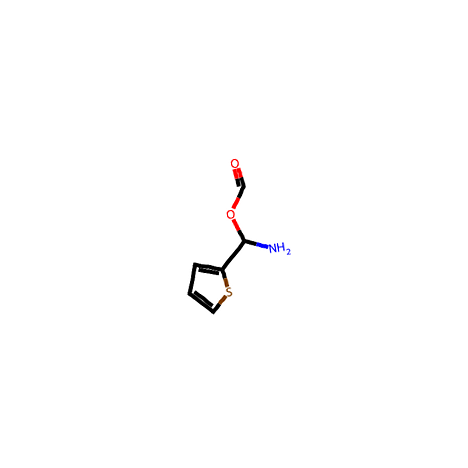 NC(OC=O)c1cccs1